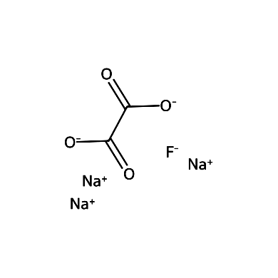 O=C([O-])C(=O)[O-].[F-].[Na+].[Na+].[Na+]